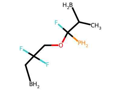 BCC(F)(F)COC(F)(P)C(B)C